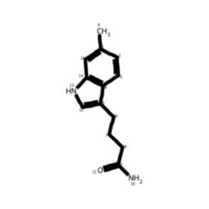 Cc1ccc2c(CCCC(N)=O)c[nH]c2c1